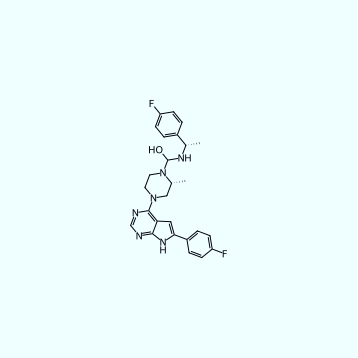 C[C@H](NC(O)N1CCN(c2ncnc3[nH]c(-c4ccc(F)cc4)cc23)C[C@H]1C)c1ccc(F)cc1